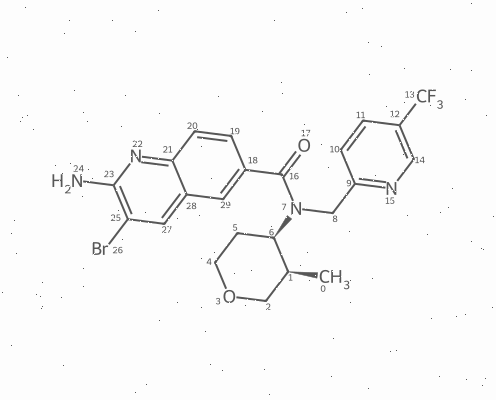 C[C@H]1COCC[C@H]1N(Cc1ccc(C(F)(F)F)cn1)C(=O)c1ccc2nc(N)c(Br)cc2c1